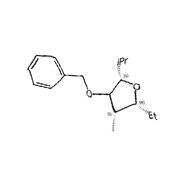 CC[C@H]1O[C@@H](C(C)C)C(OCc2ccccc2)[C@H]1C